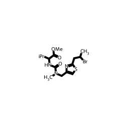 COC(=O)C(NC(=O)N(C)Cc1csc(CC(C)Br)n1)C(C)C